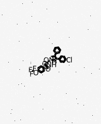 O=C(NS(=O)(=O)c1ccc(OC(F)(F)F)cc1)N1CC(c2ccccc2)C(c2ccc(Cl)cc2)=N1